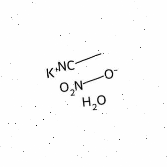 CC#N.O.O=[N+]([O-])[O-].[K+]